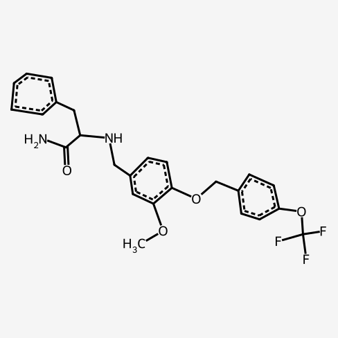 COc1cc(CNC(Cc2ccccc2)C(N)=O)ccc1OCc1ccc(OC(F)(F)F)cc1